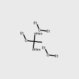 CCCCCCC(C)(CCCCCC)OCC.CCOCC.CCOCC